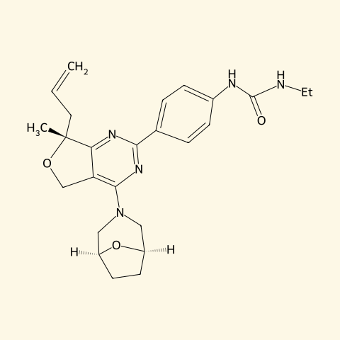 C=CC[C@@]1(C)OCc2c(N3C[C@H]4CC[C@@H](C3)O4)nc(-c3ccc(NC(=O)NCC)cc3)nc21